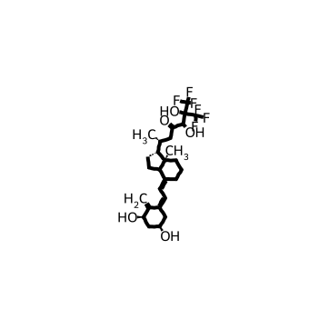 C=C1/C(=C\C=C2CCC[C@@]3(C)C2CC[C@@H]3[C@H](C)CC(=O)C(O)C(O)(C(F)(F)F)C(F)(F)F)C[C@@H](O)C[C@H]1O